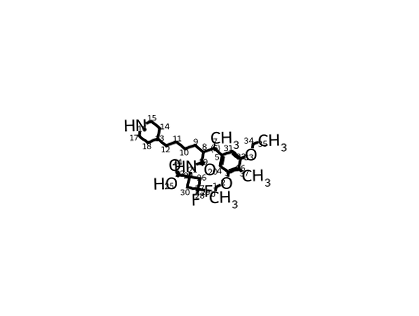 CCOc1cc([C@@H](C)C(CCCCC2CCNCC2)C(=O)NC2(C(=O)O)CC(F)(F)C2)cc(OCC)c1C